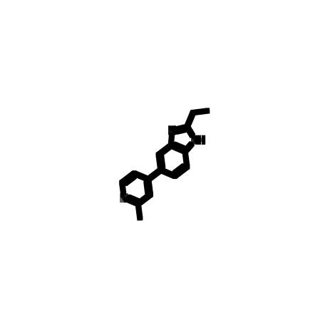 CCc1nc2cc(-c3ccnc(C)c3)ccc2[nH]1